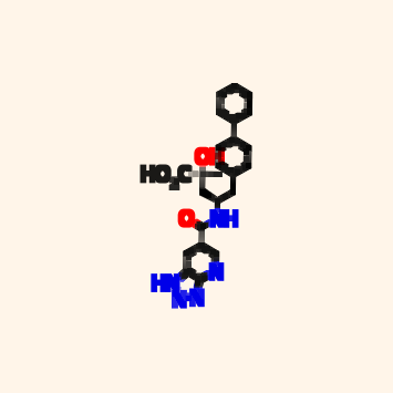 C[C@](O)(C[C@@H](Cc1ccc(-c2ccccc2)cc1)NC(=O)c1cnc2nn[nH]c2c1)C(=O)O